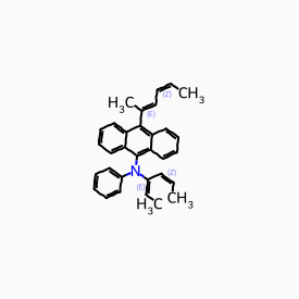 C/C=C\C=C(/C)c1c2ccccc2c(N(C(/C=C\C)=C/C)c2ccccc2)c2ccccc12